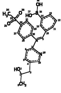 CC(O)Cc1ccc(C(=Cc2cccc(B(O)O)c2)c2ccc(S(C)(=O)=O)cc2)nc1